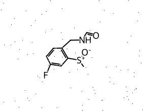 C[S+]([O-])c1cc(F)ccc1CNC=O